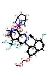 C#Cc1c(F)ccc2cc(OCOC)cc(-c3ncc4c(N5CC6CCC(C5)N6C(=O)OC(C)(C)C)nc(C)c(C(F)(F)F)c4c3F)c12